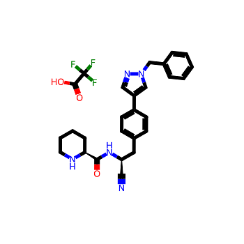 N#C[C@H](Cc1ccc(-c2cnn(Cc3ccccc3)c2)cc1)NC(=O)[C@@H]1CCCCN1.O=C(O)C(F)(F)F